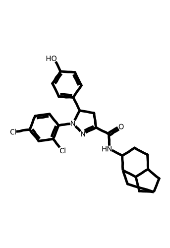 O=C(NC1CCC2CC3CC2C1C3)C1=NN(c2ccc(Cl)cc2Cl)C(c2ccc(O)cc2)C1